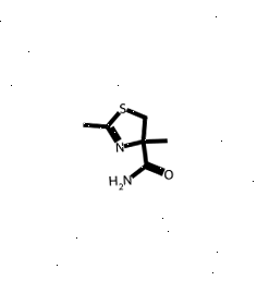 CC1=NC(C)(C(N)=O)CS1